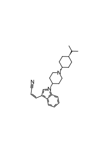 CC(C)[C@H]1CC[C@@H](N2CCC(n3cc(/C=C\C#N)c4ccccc43)CC2)CC1